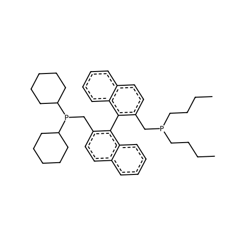 CCCCP(CCCC)Cc1ccc2ccccc2c1-c1c(CP(C2CCCCC2)C2CCCCC2)ccc2ccccc12